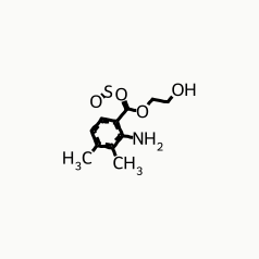 Cc1ccc(C(=O)OCCO)c(N)c1C.O=S